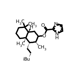 CC[C@@H](C)CC[C@H]1[C@@H](C)C(OC(=O)c2ncc[nH]2)C[C@H]2C(C)(C)CCC[C@]12C